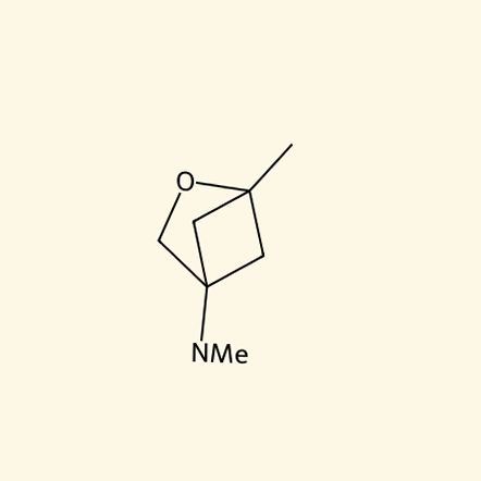 CNC12COC(C)(C1)C2